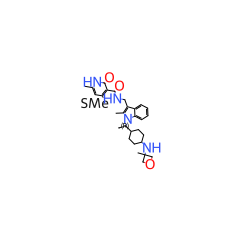 CSc1cc(C)[nH]c(=O)c1C(=O)NCc1c(C)n([C@H](C)C2CCC(NC3(C)COC3)CC2)c2ccccc12